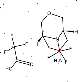 N[C@H]1C[C@H]2COC[C@@H](C1)N2C(F)(F)F.O=C(O)C(F)(F)F